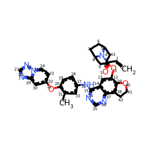 C=CC(=O)N1C2CCC1CC(Oc1cc3c(Nc4ccc(Oc5ccn6ncnc6c5)c(C)c4)ncnc3c3c1OCC3)C2